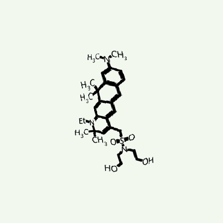 CC[N+]1=c2cc3c(cc2C(CS(=O)(=O)N(CCO)CCO)=CC1(C)C)=Cc1ccc(N(C)C)cc1C3(C)C